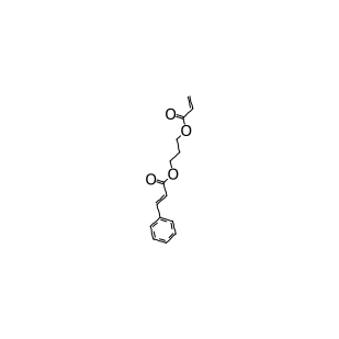 C=CC(=O)OCCCOC(=O)C=Cc1ccccc1